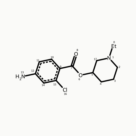 CCN1CCCC(OC(=O)c2ccc(N)cc2Cl)C1